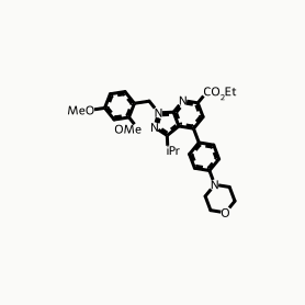 CCOC(=O)c1cc(-c2ccc(N3CCOCC3)cc2)c2c(C(C)C)nn(Cc3ccc(OC)cc3OC)c2n1